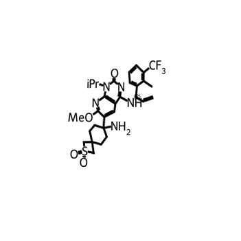 C=C[C@@H](Nc1nc(=O)n(C(C)C)c2nc(OC)c(C3(N)CCC4(CC3)CS(=O)(=O)C4)cc12)c1cccc(C(F)(F)F)c1C